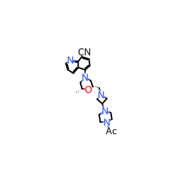 CC(=O)N1CCN(C2CN(C[C@H]3CN(c4ccc(C#N)c5ncccc45)C[C@@H](C)O3)C2)CC1